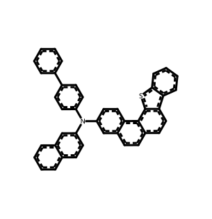 c1ccc(-c2ccc(N(c3ccc4ccccc4c3)c3ccc4c(ccc5ccc6c7ccccc7sc6c54)c3)cc2)cc1